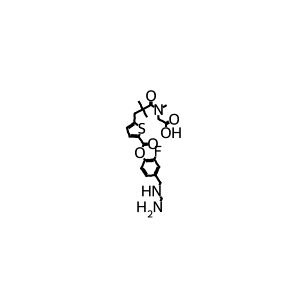 CN(CC(=O)O)C(=O)C(C)(C)Cc1ccc(C(=O)Oc2ccc(CNCN)cc2F)s1